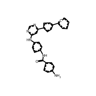 Nc1ccc(C(=O)Nc2ccc(Nc3cc(-c4ccc(-c5ccccc5)cc4)ncn3)cc2)cc1